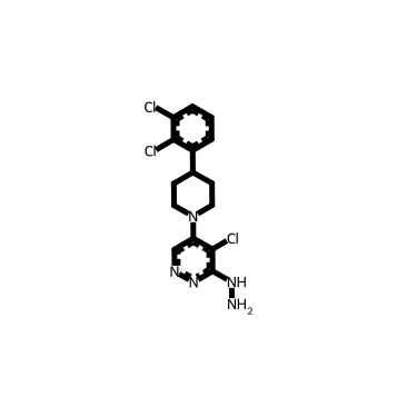 NNc1nncc(N2CCC(c3cccc(Cl)c3Cl)CC2)c1Cl